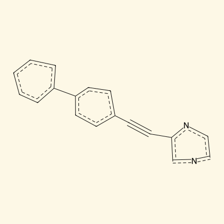 C(#Cc1cnccn1)c1ccc(-c2ccccc2)cc1